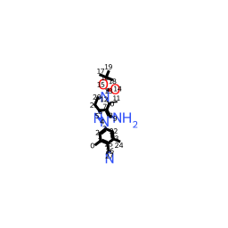 Cc1cc(-n2nc3c(c2N)[C@H](C)N(C(=O)OC(C)(C)C)CC3)cc(C)c1C#N